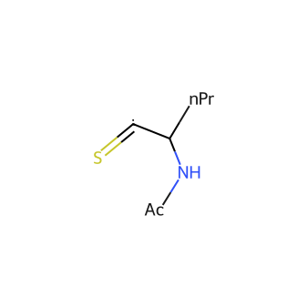 CCCC([C]=S)NC(C)=O